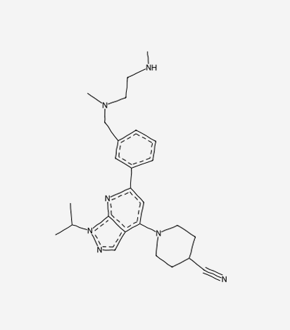 CNCCN(C)Cc1cccc(-c2cc(N3CCC(C#N)CC3)c3cnn(C(C)C)c3n2)c1